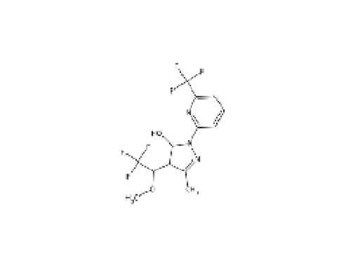 COC(C1C(C)=NN(c2cccc(C(F)(F)F)n2)C1O)C(F)(F)F